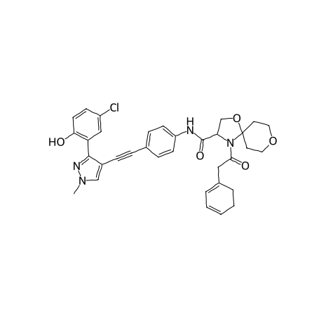 Cn1cc(C#Cc2ccc(NC(=O)C3COC4(CCOCC4)N3C(=O)CC3=CC=CCC3)cc2)c(-c2cc(Cl)ccc2O)n1